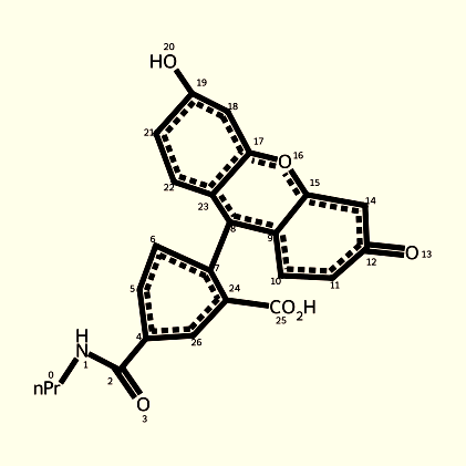 CCCNC(=O)c1ccc(-c2c3ccc(=O)cc-3oc3cc(O)ccc23)c(C(=O)O)c1